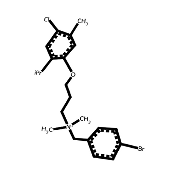 Cc1cc(OCCC[N+](C)(C)Cc2ccc(Br)cc2)c(C(C)C)cc1Cl